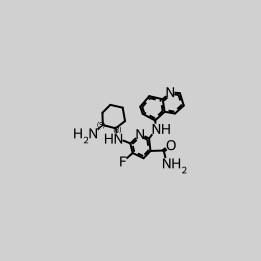 NC(=O)c1cc(F)c(N[C@@H]2CCCC[C@@H]2N)nc1Nc1cccc2ncccc12